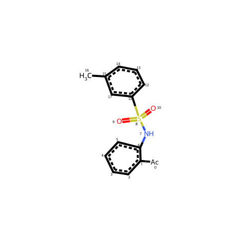 CC(=O)c1ccccc1NS(=O)(=O)c1cc[c]c(C)c1